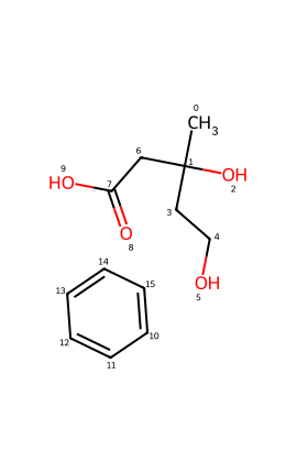 CC(O)(CCO)CC(=O)O.c1ccccc1